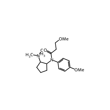 COCCC(=O)N(c1ccc(OC)cc1)C1CCCC1N(C)C